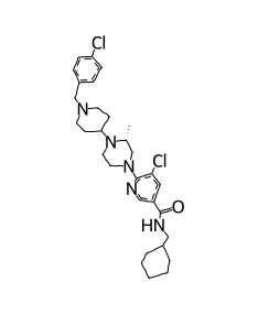 C[C@@H]1CN(c2ncc(C(=O)NCC3CCCCC3)cc2Cl)CCN1C1CCN(Cc2ccc(Cl)cc2)CC1